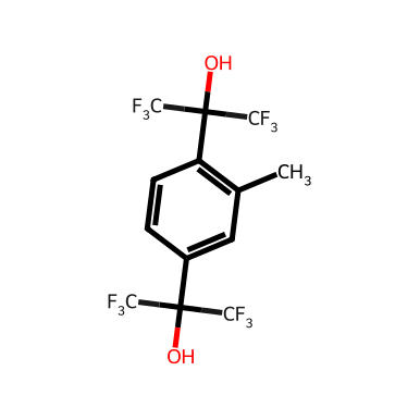 Cc1cc(C(O)(C(F)(F)F)C(F)(F)F)ccc1C(O)(C(F)(F)F)C(F)(F)F